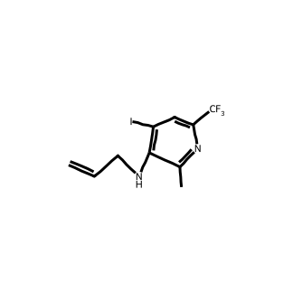 C=CCNc1c(I)cc(C(F)(F)F)nc1C